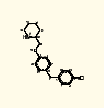 Clc1ccc(Cc2ccc(OCC3CCCCN3)cc2)cc1